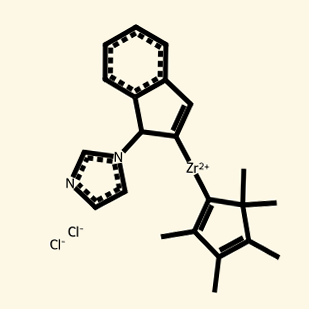 CC1=C(C)C(C)(C)[C]([Zr+2][C]2=Cc3ccccc3C2n2ccnc2)=C1C.[Cl-].[Cl-]